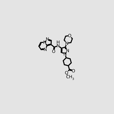 COC(=O)C1CCC(n2cc(NC(=O)c3cnn4cccnc34)c(N3CCOCC3)n2)CC1